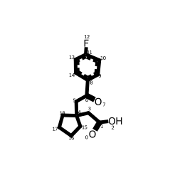 O=C(O)CC1(CC(=O)c2ccc(F)cc2)CCCC1